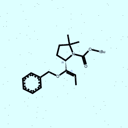 C/C=C(\OCc1ccccc1)[C@@H]1CCC(C)(C)N1C(=O)OC(C)(C)C